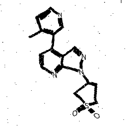 Cc1ccncc1-c1ccnc2c1cnn2C1CCS(=O)(=O)C1